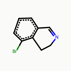 Brc1cccc2c1CCN=C2